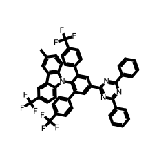 Cc1ccc2c(c1)c1cc(C(F)(F)F)ccc1n2-c1c(-c2ccc(C(F)(F)F)cc2)cc(-c2nc(-c3ccccc3)nc(-c3ccccc3)n2)cc1-c1ccc(C(F)(F)F)cc1